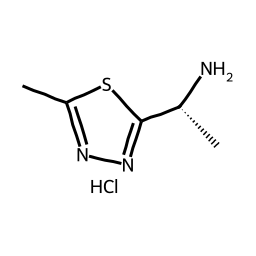 Cc1nnc([C@@H](C)N)s1.Cl